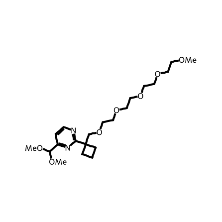 COCCOCCOCCOCCOCC1(c2nccc(C(OC)OC)n2)CCC1